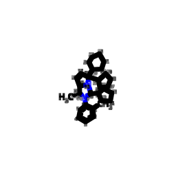 Cc1ccccc1N1C(C2CCCC2)N2C(C=CC2(C2CCCCC2)C2CCCC2)[C@@H]1C